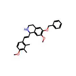 COc1cc2c(cc1OCc1ccccc1)CCNC2C=Cc1ccc(OC)c(C)c1C